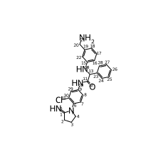 N=C1CCCN1c1ccc(NC(=O)C(Nc2cccc(CN)c2)c2ccccc2)cc1Cl